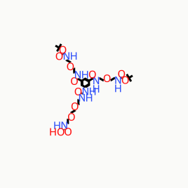 CC(C)(C)OC(=O)NCCOCCNC(=O)c1cc(NC(=O)NCCOCCOCCNC(=O)O)cc(C(=O)NCCOCCNC(=O)OC(C)(C)C)c1